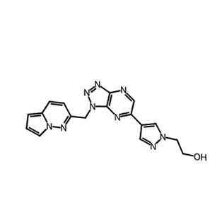 OCCn1cc(-c2cnc3nnn(Cc4ccc5cccn5n4)c3n2)cn1